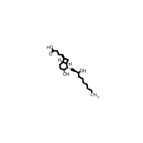 CCCCCCCC(O)C#C[C@H]1[C@@H]2C/C(=C/CCC(=O)O)[C@@H]2CC[C@@H]1O